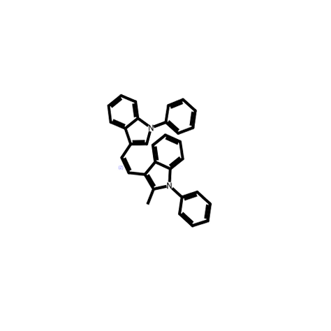 Cc1c(/C=C\c2cn(-c3ccccc3)c3ccccc23)c2ccccc2n1-c1ccccc1